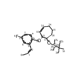 C/C=C\c1cc(F)ccc1O[C@@H]1C=CCCC[C@H]1O[Si](C)(C)C(C)(C)C